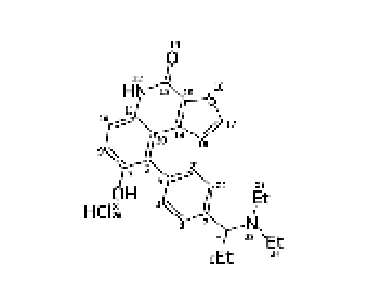 CCC(c1ccc(-c2c(O)ccc3[nH]c(=O)c4sccc4c23)cc1)N(CC)CC.Cl